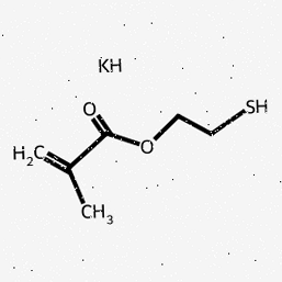 C=C(C)C(=O)OCCS.[KH]